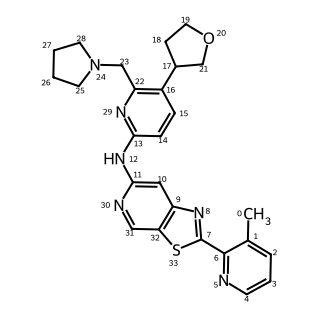 Cc1cccnc1-c1nc2cc(Nc3ccc(C4CCOC4)c(CN4CCCC4)n3)ncc2s1